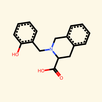 O=C(O)C1Cc2ccccc2CN1Cc1ccccc1O